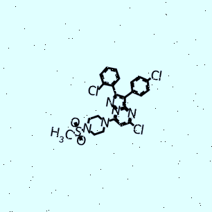 CS(=O)(=O)N1CCN(c2cc(Cl)nc3c(-c4ccc(Cl)cc4)c(-c4ccccc4Cl)nn23)CC1